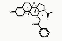 CC(=O)[C@H]1CC[C@H]2[C@@H]3CCC4=CC(=O)C=C[C@]4(C)[C@H]3C[C@H](OC(=O)c3ccccc3)[C@]12C